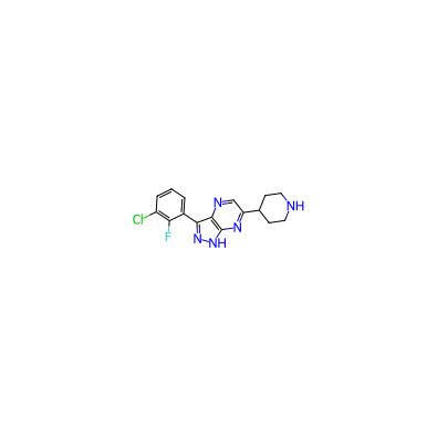 Fc1c(Cl)cccc1-c1n[nH]c2nc(C3CCNCC3)cnc12